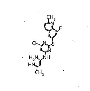 CC(=N)/C=C(\N)Nc1cc(Cl)nc(Sc2cc(F)c3nc(C)ccc3c2)n1